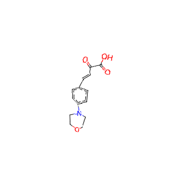 O=C(O)C(=O)C=Cc1ccc(N2CCOCC2)cc1